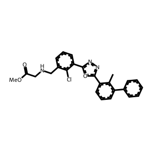 COC(=O)CNCc1cccc(-c2nnc(-c3cccc(-c4ccccc4)c3C)o2)c1Cl